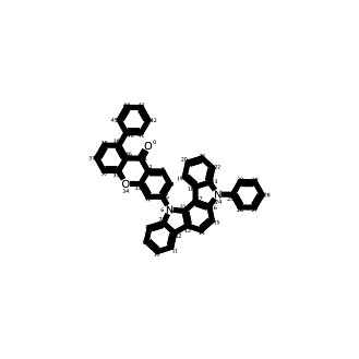 O=c1c2ccc(-n3c4ccccc4c4ccc5c(c6ccccc6n5-c5ccccc5)c43)cc2oc2cccc(-c3ccccc3)c12